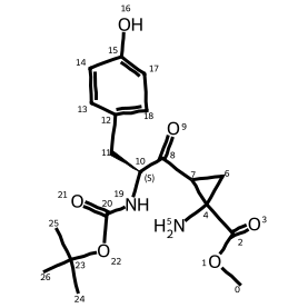 COC(=O)C1(N)CC1C(=O)[C@H](Cc1ccc(O)cc1)NC(=O)OC(C)(C)C